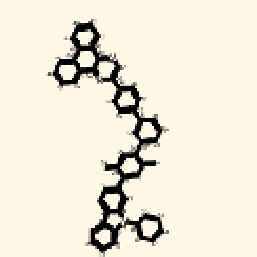 Cc1cc(-c2ccc3c4ccccc4n(-c4ccccc4)c3c2)c(C)cc1-c1cccc(-c2ccc(-c3cnc4c5ccccc5c5ccccc5c4n3)cc2)c1